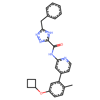 Cc1ccc(OC2CCC2)cc1-c1ccnc(NC(=O)c2nnc(Cc3ccccc3)[nH]2)c1